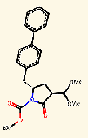 COC(OC)[C@@H]1C[C@@H](Cc2ccc(-c3ccccc3)cc2)N(C(=O)OC(C)(C)C)C1=O